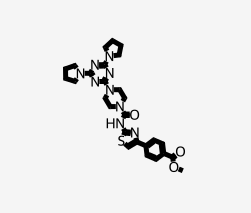 COC(=O)c1ccc(-c2csc(NC(=O)N3CCN(c4nc(N5CCCC5)nc(N5CCCC5)n4)CC3)n2)cc1